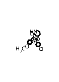 CCOc1ccc(CN(C2CCCCNC2=O)S(=O)(=O)c2ccc(Cl)cc2)cc1